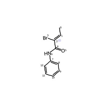 C/C=C(\Br)C(=O)Nc1ccccc1